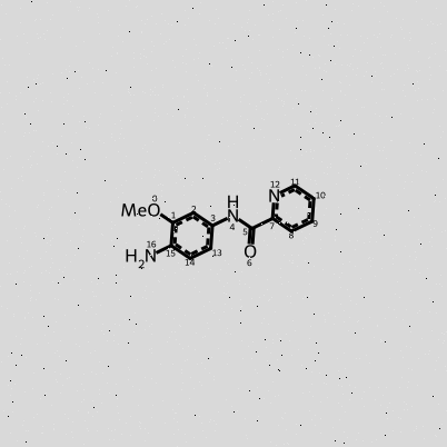 COc1cc(NC(=O)c2ccccn2)ccc1N